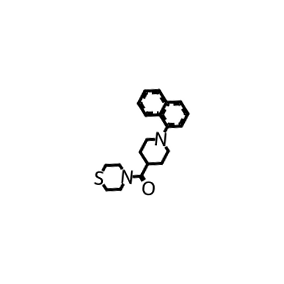 O=C(C1CCN(c2cccc3ccccc23)CC1)N1CCSCC1